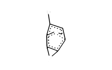 CCc1cc2oc1c1c2O1